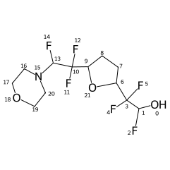 OC(F)C(F)(F)C1CCC(C(F)(F)C(F)N2CCOCC2)O1